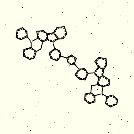 c1ccc(N2c3ccccc3Cc3c2ccc2c4ccccc4n(-c4cccc(-c5ccc(-c6cccc(-n7c8ccccc8c8ccc9c(c87)Cc7ccccc7N9c7ccccc7)c6)s5)c4)c32)cc1